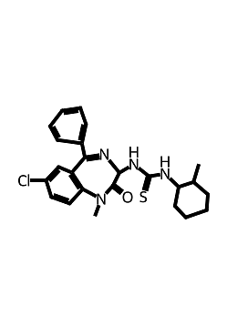 CC1CCCCC1NC(=S)NC1N=C(c2ccccc2)c2cc(Cl)ccc2N(C)C1=O